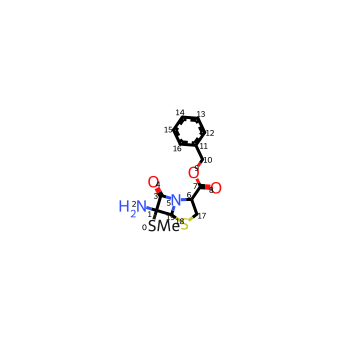 CSC1(N)C(=O)N2C(C(=O)OCc3ccccc3)CSC21